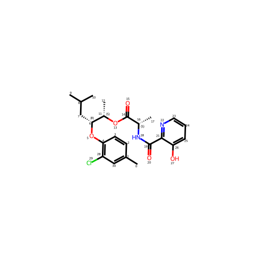 Cc1ccc(O[C@H](CC(C)C)[C@H](C)OC(=O)[C@H](C)NC(=O)c2ncccc2O)c(Cl)c1